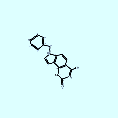 O=c1nc(Cl)c2ccc3c(ccn3Cc3ccccc3)c2[nH]1